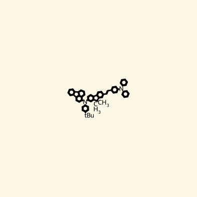 CC(C)(C)c1ccc(N(c2ccc3c(c2)C(C)(C)c2cc(/C=C/c4ccc(N(c5ccccc5)c5ccccc5)cc4)ccc2-3)c2ccc3c4c(cccc24)-c2ccccc2-3)cc1